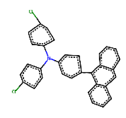 Clc1ccc(N(c2ccc(Cl)cc2)c2ccc(-c3c4ccccc4cc4ccccc34)cc2)cc1